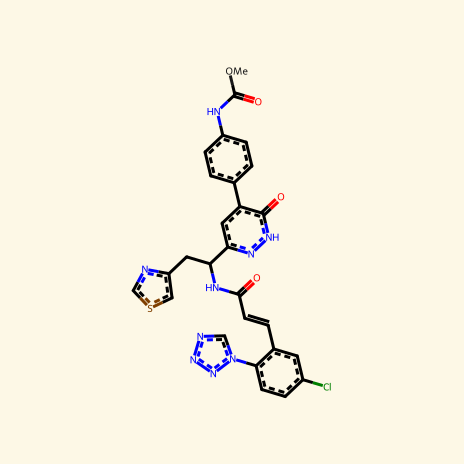 COC(=O)Nc1ccc(-c2cc(C(Cc3cscn3)NC(=O)/C=C/c3cc(Cl)ccc3-n3cnnn3)n[nH]c2=O)cc1